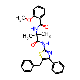 COc1ccccc1C(=O)NC(C)(C)C(=O)Nc1nc(-c2ccccc2)c(Cc2ccccc2)s1